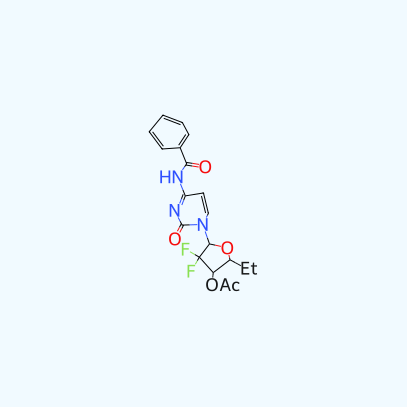 CCC1OC(n2ccc(NC(=O)c3ccccc3)nc2=O)C(F)(F)C1OC(C)=O